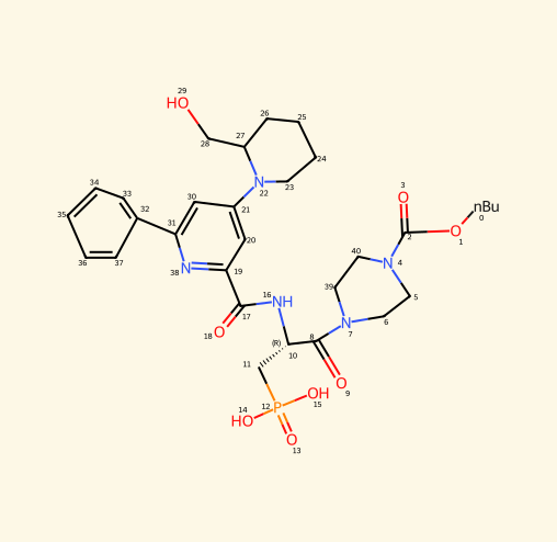 CCCCOC(=O)N1CCN(C(=O)[C@H](CP(=O)(O)O)NC(=O)c2cc(N3CCCCC3CO)cc(-c3ccccc3)n2)CC1